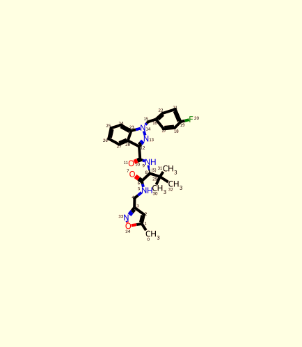 Cc1cc(CNC(=O)[C@@H](NC(=O)c2nn(Cc3ccc(F)cc3)c3ccccc23)C(C)(C)C)no1